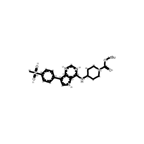 CC(C)(C)OC(=O)N1CCC(Nc2ncnc3c(-c4ccc(S(C)(=O)=O)cc4)csc23)CC1